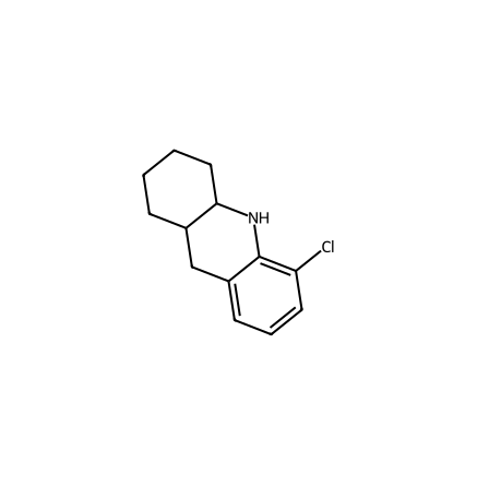 Clc1cccc2c1NC1CCCCC1C2